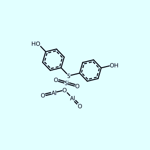 O=[Si]=O.Oc1ccc(Sc2ccc(O)cc2)cc1.[O]=[Al][O][Al]=[O]